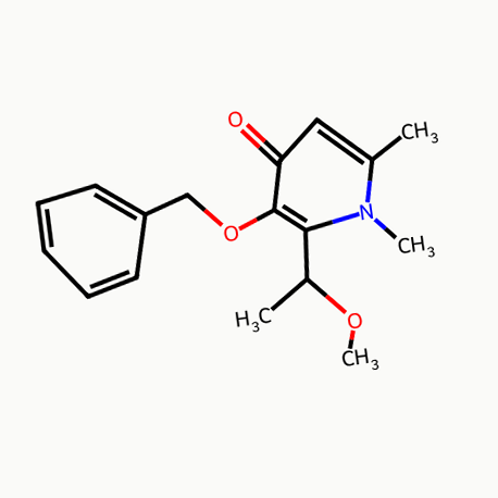 COC(C)c1c(OCc2ccccc2)c(=O)cc(C)n1C